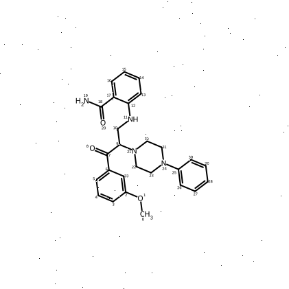 COc1cccc(C(=O)C(CNc2ccccc2C(N)=O)N2CCN(c3ccccc3)CC2)c1